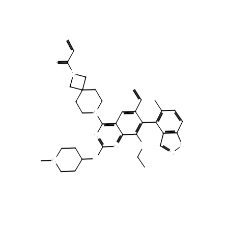 C=CC(=O)N1CC2(CCN(c3nc(OC4CCN(C)CC4)nc4c(OCC)c(-c5c(C)ccc6[nH]ncc56)c(C=C)cc34)CC2)C1